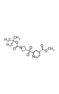 COC(=O)c1ccnc(S(=O)(=O)C2CN(C(=O)OC(C)(C)C)C2)c1